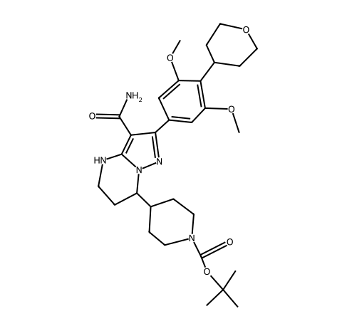 COc1cc(-c2nn3c(c2C(N)=O)NCCC3C2CCN(C(=O)OC(C)(C)C)CC2)cc(OC)c1C1CCOCC1